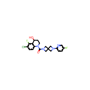 O=C(N1CC2(C1)CN(c1ccc(F)cn1)C2)N1CCC(O)c2c1ccc(Cl)c2F